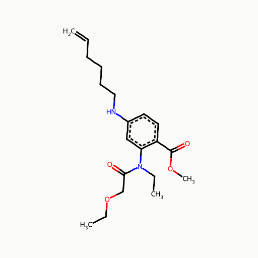 C=CCCCCNc1ccc(C(=O)OC)c(N(CC)C(=O)COCC)c1